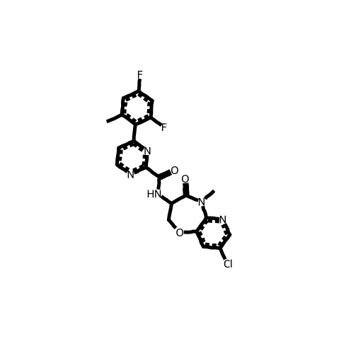 Cc1cc(F)cc(F)c1-c1ccnc(C(=O)NC2COc3cc(Cl)cnc3N(C)C2=O)n1